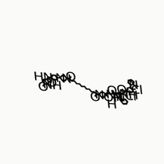 O=C1CCC(Nc2ccc(N3CCN(C(=O)CCCCCCCCCCC(=O)N4CCC(O)(CNC(=O)c5cc(NC(=O)c6cc(-c7ccccn7)c(Cl)cc6Cl)n(-c6ccccc6)n5)CC4)CC3)cc2)C(=O)N1